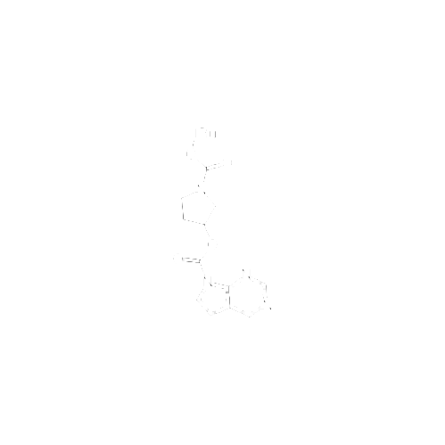 CC(C)(C)OC(=O)N1CCC(OC(=O)n2ccc3cncnc32)C1